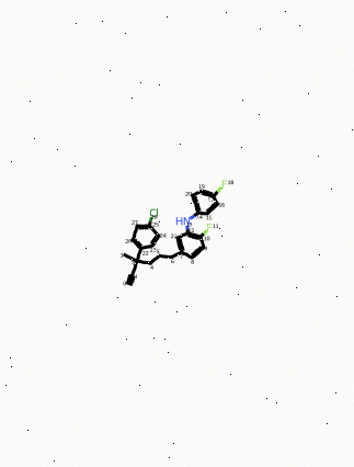 C#CC(C)(CCCc1ccc(F)c(Nc2ccc(F)cc2)c1)c1ccc(Cl)cc1